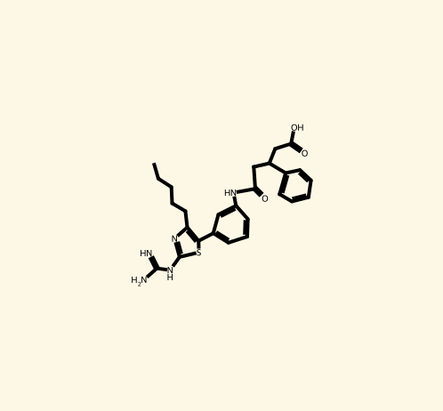 CCCCCc1nc(NC(=N)N)sc1-c1cccc(NC(=O)CC(CC(=O)O)c2ccccc2)c1